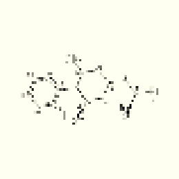 CCC(CC1CC(C)C(c2ccccc2)C(Cl)C1)C(C)=O